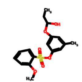 CCC(O)Oc1cc(C)cc(OS(=O)(=O)c2ccccc2OC)c1